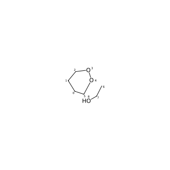 C1CCOOC1.CCO